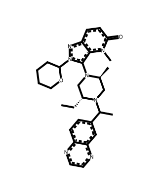 CC[C@@H]1CN(c2c3c(ccc(=O)n3C)nn2C2CCCCO2)[C@@H](C)CN1C(C)c1ccc2nccnc2c1